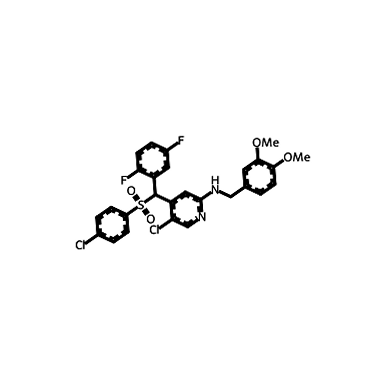 COc1ccc(CNc2cc(C(c3cc(F)ccc3F)S(=O)(=O)c3ccc(Cl)cc3)c(Cl)cn2)cc1OC